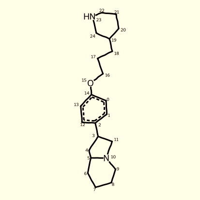 c1cc(C2CC3CCCCN3C2)ccc1OCCCC1CCCNC1